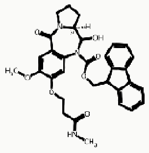 CNC(=O)CCOc1cc2c(cc1OC)C(=O)N1CCC[C@H]1C(O)N2C(=O)OCC1c2ccccc2-c2ccccc21